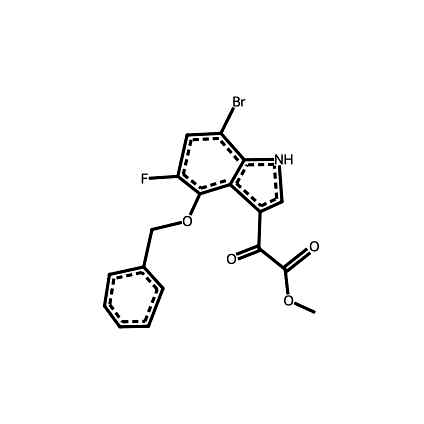 COC(=O)C(=O)c1c[nH]c2c(Br)cc(F)c(OCc3ccccc3)c12